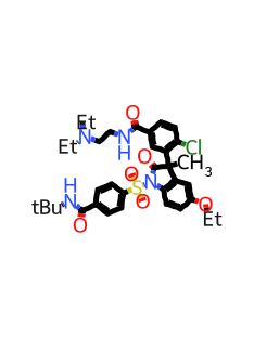 CCOc1ccc2c(c1)C(C)(c1cc(C(=O)NCCN(CC)CC)ccc1Cl)C(=O)N2S(=O)(=O)c1ccc(C(=O)NC(C)(C)C)cc1